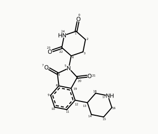 O=C1CCC(N2C(=O)c3cccc(C4CCCNC4)c3C2=O)C(=O)N1